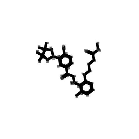 COC(=O)CCCOc1cccc(C)c1NCC(=O)c1ccc(Cl)c(B2OC(C)(C)C(C)(C)O2)c1